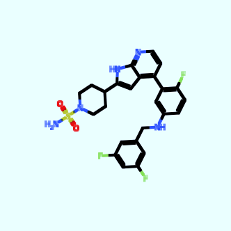 NS(=O)(=O)N1CCC(c2cc3c(-c4cc(NCc5cc(F)cc(F)c5)ccc4F)ccnc3[nH]2)CC1